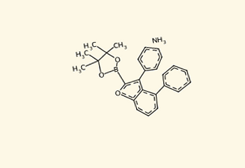 CC1(C)OB(c2oc3cccc(-c4ccccc4)c3c2-c2ccccc2)OC1(C)C.N